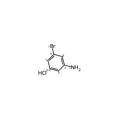 Cl.Nc1cccc(Br)c1